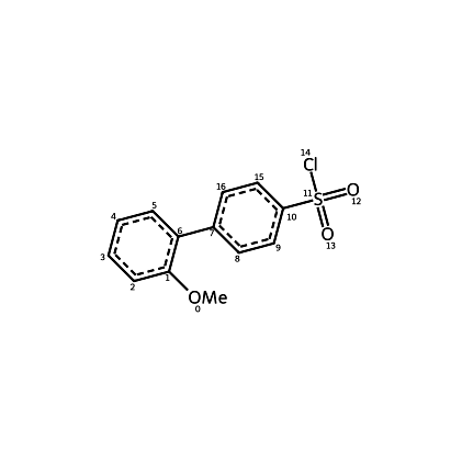 COc1ccccc1-c1ccc(S(=O)(=O)Cl)cc1